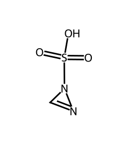 O=S(=O)(O)N1C=N1